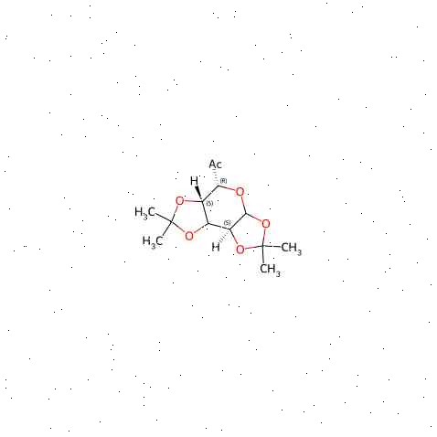 CC(=O)[C@@H]1OC2OC(C)(C)O[C@H]2C2OC(C)(C)O[C@@H]21